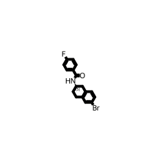 O=C(N[C@H]1CCc2cc(Br)ccc2C1)c1ccc(F)cc1